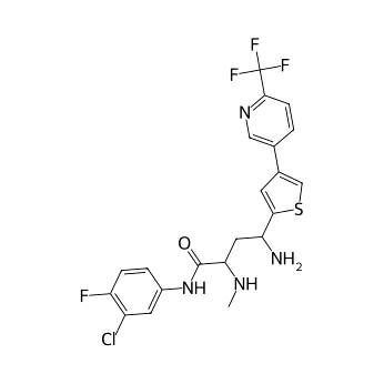 CNC(CC(N)c1cc(-c2ccc(C(F)(F)F)nc2)cs1)C(=O)Nc1ccc(F)c(Cl)c1